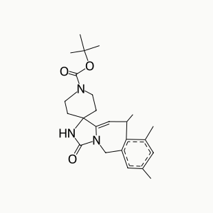 Cc1cc(C)c2c(c1)CN1C(=O)NC3(CCN(C(=O)OC(C)(C)C)CC3)C1=CC2C